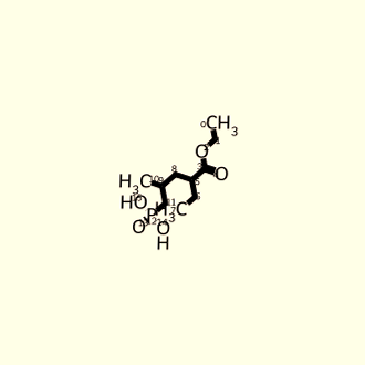 CCOC(=O)C(CC)CC(C)CP(=O)(O)O